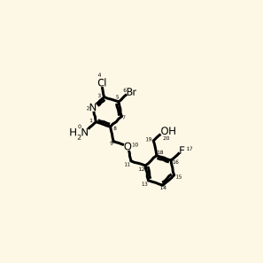 Nc1nc(Cl)c(Br)cc1COCc1cccc(F)c1CO